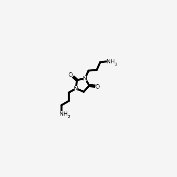 NCCCN1CC(=O)N(CCCN)C1=O